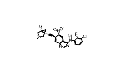 CN1C[C@H]2C[C@@]2(C#Cc2cc3ncnc(Nc4cccc(Cl)c4F)c3cc2[N+](=O)[O-])C1